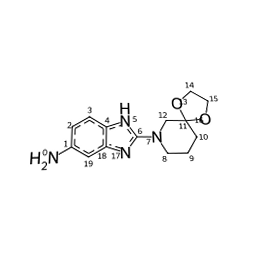 Nc1ccc2[nH]c(N3CCCC4(C3)OCCO4)nc2c1